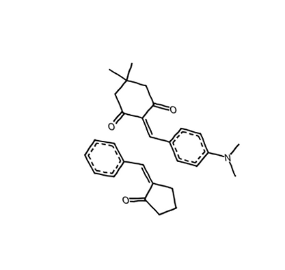 CN(C)c1ccc(C=C2C(=O)CC(C)(C)CC2=O)cc1.O=C1CCCC1=Cc1ccccc1